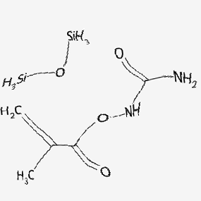 C=C(C)C(=O)ONC(N)=O.[SiH3]O[SiH3]